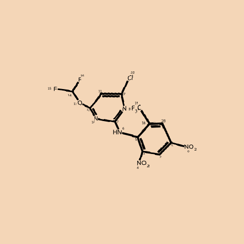 O=[N+]([O-])c1cc([N+](=O)[O-])c(Nc2nc(Cl)cc(OC(F)F)n2)c(C(F)(F)F)c1